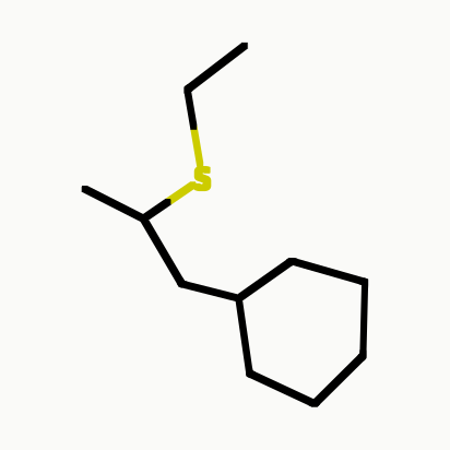 CCSC(C)CC1CCCCC1